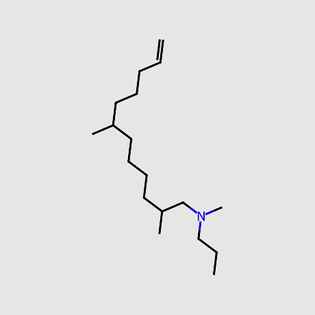 C=CCCCC(C)CCCCC(C)CN(C)CCC